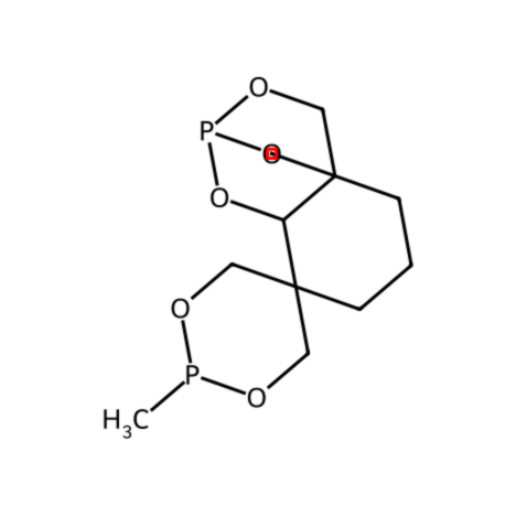 CP1OCC2(CCCC34COP(OC3)OC24)CO1